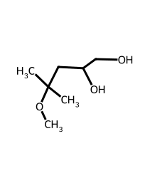 COC(C)(C)CC(O)CO